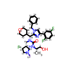 C[C@@H](CO)NC(=O)N(C[C@@H]1CN(I)C[C@@H]1F)[C@@H](c1nc(-c2cc(F)ccc2F)cn1Cc1ccccc1)C1CCOCC1